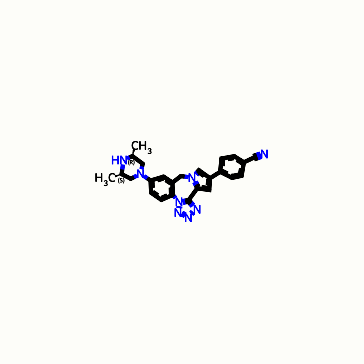 C[C@@H]1CN(c2ccc3c(c2)Cn2cc(-c4ccc(C#N)cc4)cc2-c2nnnn2-3)C[C@H](C)N1